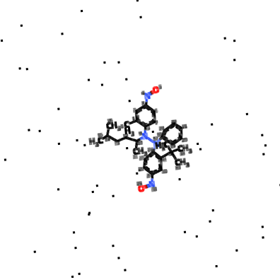 Cc1cc(N=O)ccc1N(C(C)CCC(C)C)N(c1ccccc1)c1ccc(N=O)cc1C(C)(C)C